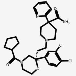 NC(=O)C1(c2ccccn2)CCN(CC[C@@]2(c3ccc(Cl)c(Cl)c3)CN(C(=O)C3CCCC3)CCO2)CC1